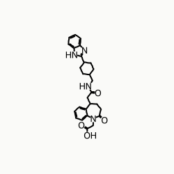 O=C(O)CN1C(=O)CCC(CC(=O)NCC2CCC(c3nc4ccccc4[nH]3)CC2)c2ccccc21